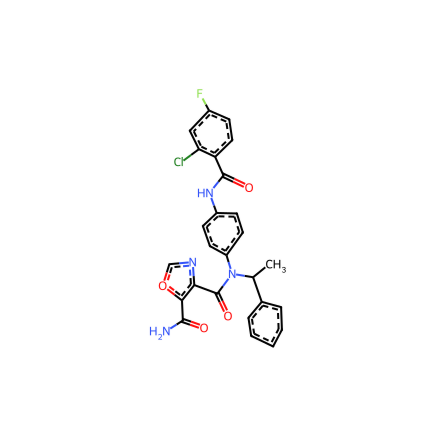 CC(c1ccccc1)N(C(=O)c1ncoc1C(N)=O)c1ccc(NC(=O)c2ccc(F)cc2Cl)cc1